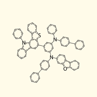 c1ccc(-c2ccc(N(c3ccccc3)c3cc(-c4cc5c6ccccc6n(-c6ccccc6)c5c5c4sc4ccccc45)cc(N(c4ccc(-c5ccccc5)cc4)c4ccc5c(c4)oc4ccccc45)c3)cc2)cc1